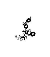 CC[C@@H]1[C@@H](c2nc(C)c(C(N)=O)s2)[C@H](Cc2ccccc2)C(=O)N1c1ccc2c(cnn2-c2ccc(F)cc2)c1